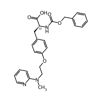 CN(CCOc1ccc(C[C@H](NC(=O)OCc2ccccc2)C(=O)O)cc1)c1ccccn1